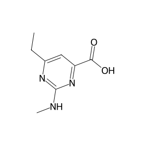 CCc1cc(C(=O)O)nc(NC)n1